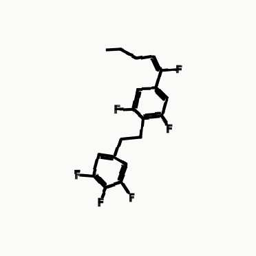 CCC/C=C(/F)c1cc(F)c(CCc2cc(F)c(F)c(F)c2)c(F)c1